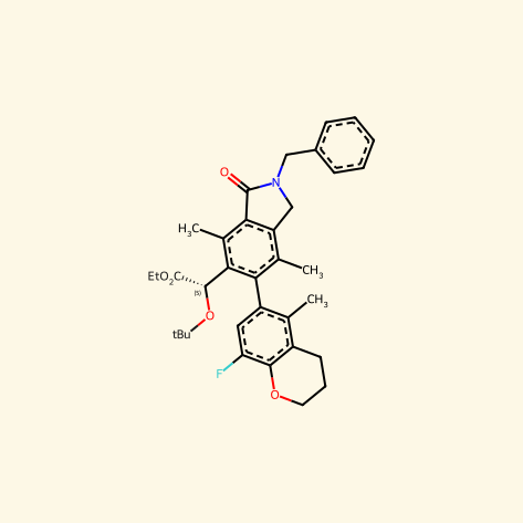 CCOC(=O)[C@@H](OC(C)(C)C)c1c(C)c2c(c(C)c1-c1cc(F)c3c(c1C)CCCO3)CN(Cc1ccccc1)C2=O